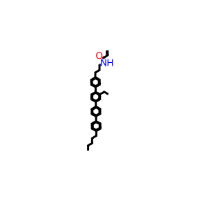 C=CC(=O)NCCCc1ccc(-c2ccc(-c3ccc(-c4ccc(CCCCC)cc4)cc3)cc2CC)cc1